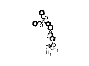 CCN(CC1CCN(C(=O)NC(C)C)CC1)C1CCc2ccc(N(C(=O)Cc3ccccc3)C(=O)Cc3ccccc3)cc2C1